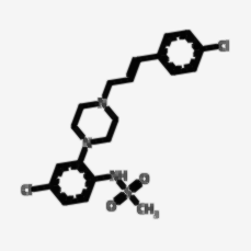 CS(=O)(=O)Nc1ccc(Cl)cc1N1CCN(CC=Cc2ccc(Cl)cc2)CC1